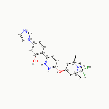 CN1[C@]2(C)C[C@H](Oc3ccc(-c4ccc(-n5ccnc5)cc4O)nn3)C[C@@]1(C)C(F)(F)C2